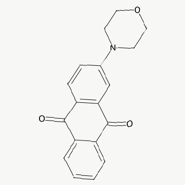 O=C1c2ccccc2C(=O)c2cc(N3CCOCC3)ccc21